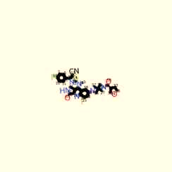 CN(c1nc(-c2ccc(F)cc2)c(C#N)s1)c1c2c(nc3c(F)cc(N4CC5(CN(C(=O)[C@H]6CCOC6)C5)C4)cc13)C(=O)NC2